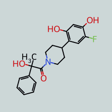 CC(O)(C(=O)N1CCC(c2cc(F)c(O)cc2O)CC1)c1ccccc1